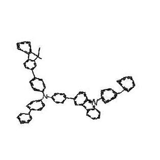 CC1(C)c2ccccc2-c2ccc(-c3ccc(N(c4ccc(-c5ccccc5)cc4)c4ccc(-c5ccc6c(c5)c5ccccc5n6-c5ccc(-c6ccccc6)cc5)cc4)cc3)cc21